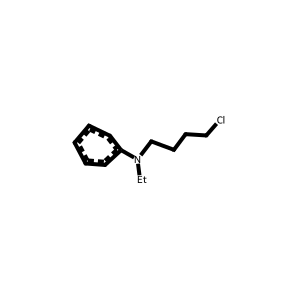 CCN(CCCCCl)c1ccccc1